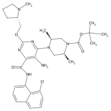 C[C@H]1CN(c2nc(OC[C@@H]3CCCN3C)nc(C(=O)Nc3cccc4cccc(Cl)c34)c2N)[C@@H](C)CN1C(=O)OC(C)(C)C